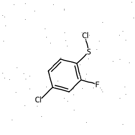 Fc1cc(Cl)ccc1SCl